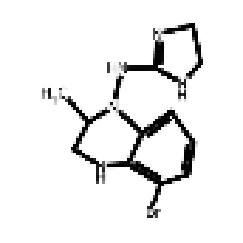 CC1CNc2c(Br)cccc2N1NC1=NCCN1